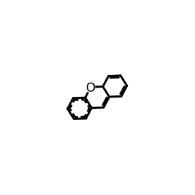 C1=CC2=Cc3ccccc3OC2C=C1